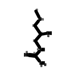 COCC(O)CNC(=N)N